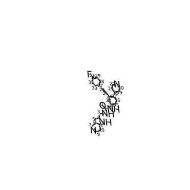 O=C(NCc1cc2cnccc2[nH]1)Nc1ccc(-c2ccncc2)c(C#Cc2ccc(F)cc2)c1